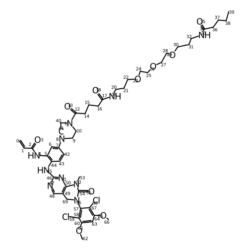 C=CC(=O)Nc1cc(N2CCN(C(=O)CCCC(=O)NCCCOCCOCCOCCCNC(=O)CCCC)CC2)ccc1Nc1ncc2c(n1)N(C)C(=O)N(c1c(Cl)c(OC)cc(OC)c1Cl)C2